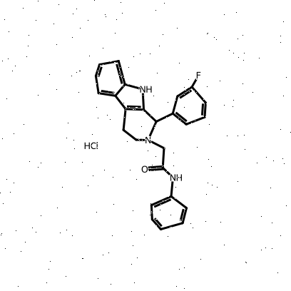 Cl.O=C(CN1CCc2c([nH]c3ccccc23)C1c1cccc(F)c1)Nc1ccccc1